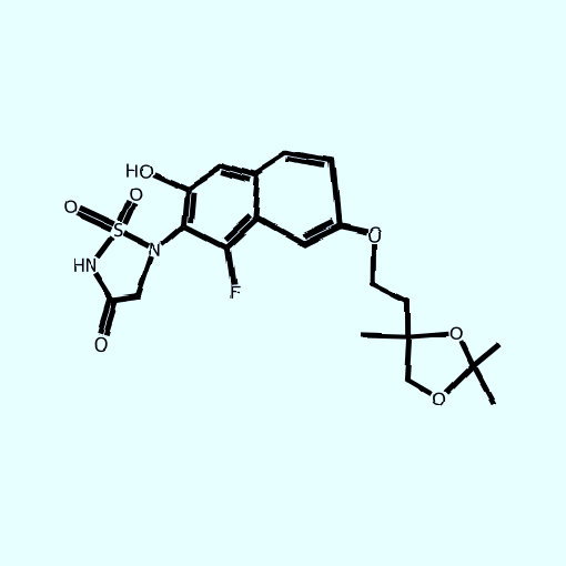 CC1(CCOc2ccc3cc(O)c(N4CC(=O)NS4(=O)=O)c(F)c3c2)COC(C)(C)O1